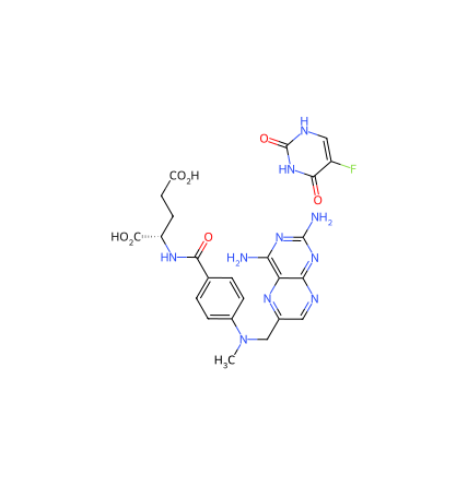 CN(Cc1cnc2nc(N)nc(N)c2n1)c1ccc(C(=O)N[C@@H](CCC(=O)O)C(=O)O)cc1.O=c1[nH]cc(F)c(=O)[nH]1